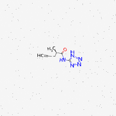 C#CC[C@@H](C)C(=O)Nc1nnn[nH]1